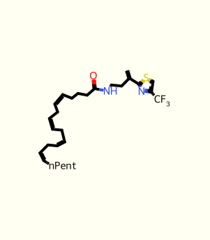 C=C(CCNC(=O)CCC/C=C\C/C=C\C/C=C\C/C=C\CCCCC)c1nc(C(F)(F)F)cs1